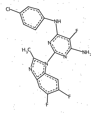 Cc1nc2cc(F)c(F)cc2n1-c1nc(N)c(F)c(Nc2ccc(Cl)cc2)n1